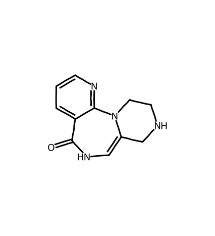 O=C1NC=C2CNCCN2c2ncccc21